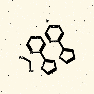 CC(=O)CC(C)=O.[Ir].c1ccc(-c2cccs2)nc1.c1ccc(-c2cccs2)nc1